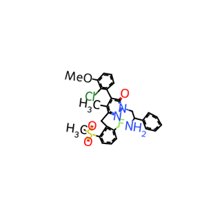 COc1cccc(-c2c(C)c(Cc3c(F)cccc3S(C)(=O)=O)nn(CC(N)c3ccccc3)c2=O)c1Cl